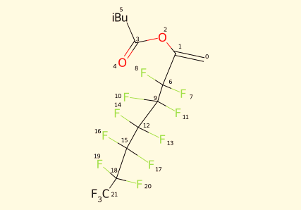 C=C(OC(=O)C(C)CC)C(F)(F)C(F)(F)C(F)(F)C(F)(F)C(F)(F)C(F)(F)F